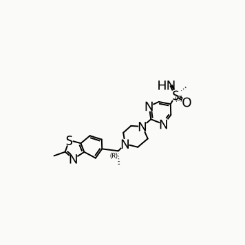 Cc1nc2cc([C@@H](C)N3CCN(c4ncc([S@@](C)(=N)=O)cn4)CC3)ccc2s1